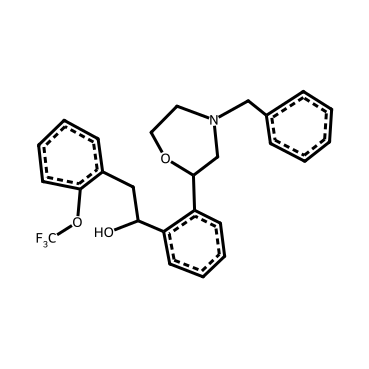 OC(Cc1ccccc1OC(F)(F)F)c1ccccc1C1CN(Cc2ccccc2)CCO1